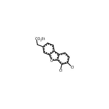 CCOC(=O)Cc1ccc2c(c1)oc1c(Cl)c(Cl)ccc12